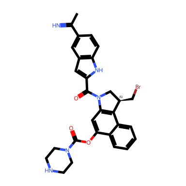 CC(=N)c1ccc2[nH]c(C(=O)N3C[C@@H](CBr)c4c3cc(OC(=O)N3CCNCC3)c3ccccc43)cc2c1